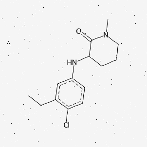 CCc1cc(NC2CCCN(C)C2=O)ccc1Cl